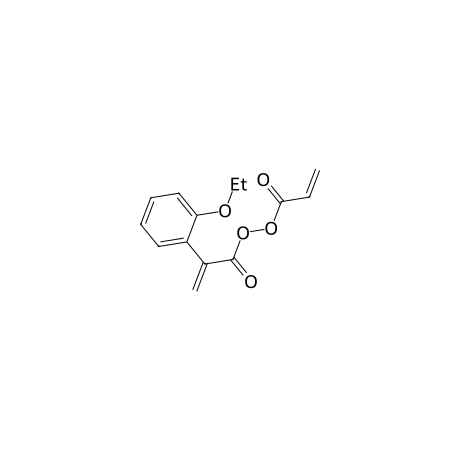 C=CC(=O)OOC(=O)C(=C)c1ccccc1OCC